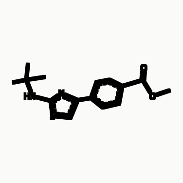 COC(=O)c1ccc(-c2csc(NC(C)(C)C)n2)cc1